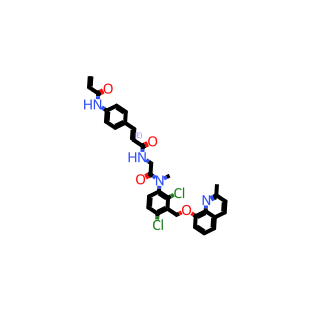 C=CC(=O)Nc1ccc(/C=C/C(=O)NCC(=O)N(C)c2ccc(Cl)c(COc3cccc4ccc(C)nc34)c2Cl)cc1